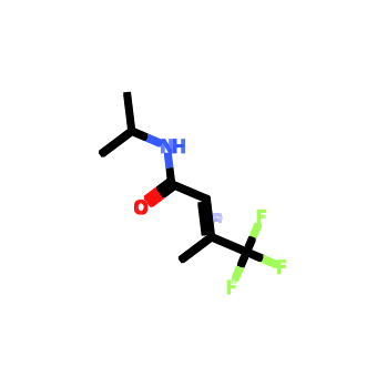 C/C(=C\C(=O)NC(C)C)C(F)(F)F